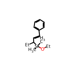 CCO[Si](C)(C)C(/C=C/c1ccccc1)CC